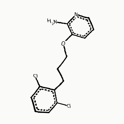 Nc1ncccc1OCCCc1c(Cl)cccc1Cl